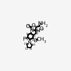 COc1c2c(cc(F)c1N1CCCC1)N1C(=O)OC(C(N)=O)[C@@H]1C2